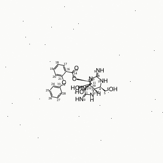 N=C1N[C@H]2[C@H](CO)NC(=N)N3C[C@H](OC(=O)c4ccccc4Oc4ccccc4)C(O)(O)[C@]23N1